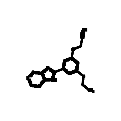 C#CCOc1cc(OCC)cc(-c2nc3cnccc3[nH]2)c1